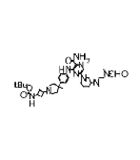 CN(C=O)CCN(C)C1CCCN(c2cnc(C(N)=O)c(Nc3ccc(C4(C)CCN(C5CC(NC(=O)OC(C)(C)C)C5)CC4)cc3)n2)C1